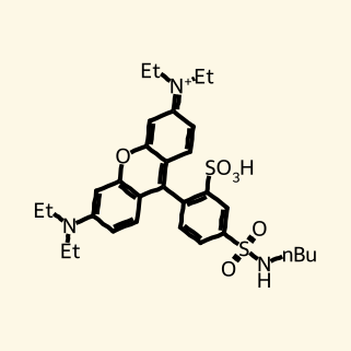 CCCCNS(=O)(=O)c1ccc(-c2c3ccc(=[N+](CC)CC)cc-3oc3cc(N(CC)CC)ccc23)c(S(=O)(=O)O)c1